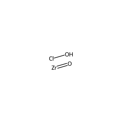 OCl.[O]=[Zr]